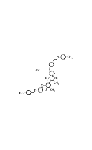 Br.CC(C(=O)N1CCN(Cc2ccc(CCOc3ccc(C)cc3)cc2)CC1)=C(C)c1cc(C)c(Oc2ccc(OCc3ccc(C)cc3)cn2)c(Cl)c1